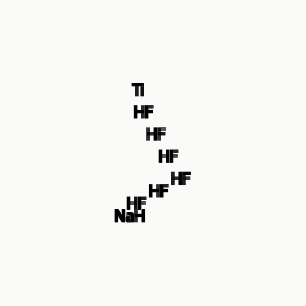 F.F.F.F.F.F.[NaH].[Ti]